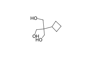 OCC(CO)(CO)C1CCC1